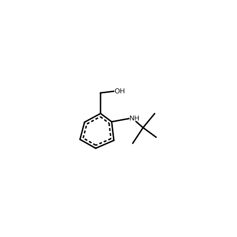 CC(C)(C)Nc1ccccc1CO